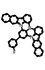 Fc1cccc(-c2cc3c4c(c2)-n2c5cc6ccccc6cc5c5cccc(c52)B4c2cccc4c5cc6ccccc6cc5n-3c24)c1